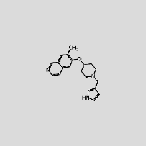 Cc1cc2cnccc2cc1OC1CCN(Cc2cc[nH]c2)CC1